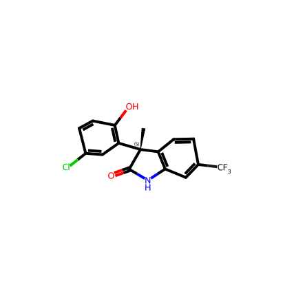 C[C@]1(c2cc(Cl)ccc2O)C(=O)Nc2cc(C(F)(F)F)ccc21